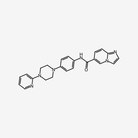 O=C(Nc1ccc(N2CCN(c3ccccn3)CC2)cc1)c1ccc2nccn2c1